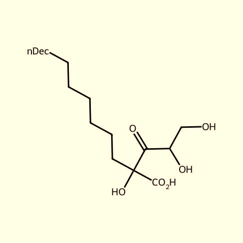 CCCCCCCCCCCCCCCCC(O)(C(=O)O)C(=O)C(O)CO